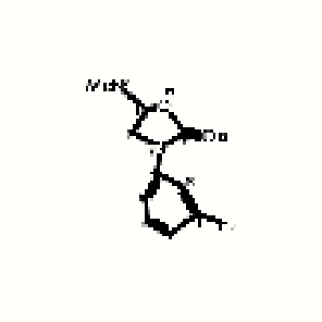 CNC1CN(c2cccc(F)c2)C(=O)O1